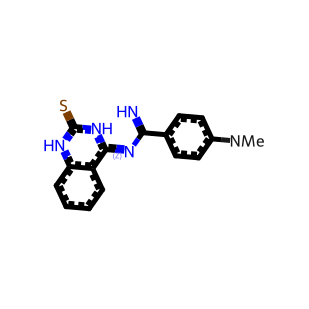 CNc1ccc(C(=N)/N=c2\[nH]c(=S)[nH]c3ccccc23)cc1